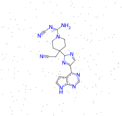 N#CCC1(C2N=CC(c3ncnc4[nH]ccc34)=N2)CCN(/C(N)=N\C#N)CC1